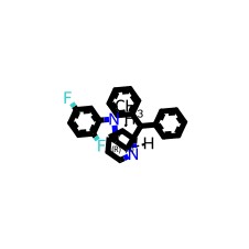 CN(c1cc(F)ccc1F)[C@@H]1C2CCN(CC2)[C@@H]1C(c1ccccc1)c1ccccc1